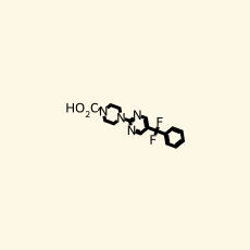 O=C(O)N1CCN(c2ncc(C(F)(F)c3ccccc3)cn2)CC1